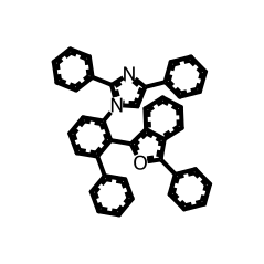 c1ccc(-c2cn(-c3cccc(-c4ccccc4)c3-c3oc(-c4ccccc4)c4ccccc34)c(-c3ccccc3)n2)cc1